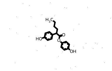 CCCCC(C(=O)Oc1ccc(O)cc1)c1ccc(O)cc1